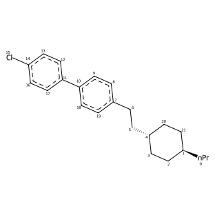 CCC[C@H]1CC[C@H](CCc2ccc(-c3ccc(Cl)cc3)cc2)CC1